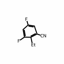 CCc1c(F)cc(F)cc1C#N